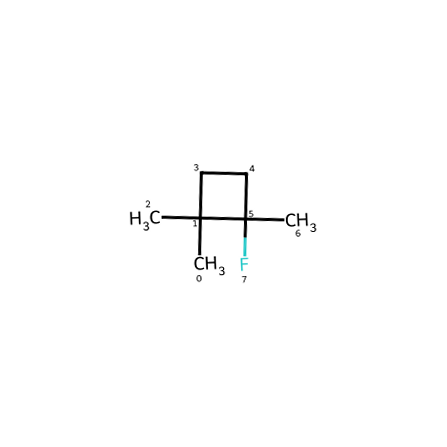 CC1(C)CCC1(C)F